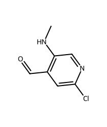 CNc1cnc(Cl)cc1C=O